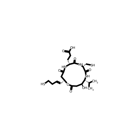 CC(C)[C@H]1NC(=O)[C@@H](CS)NC(=O)[C@@H](CCC(=O)O)NC(=O)C[C@@H](/C=C/CCS)OC(=O)C[C@@H]1O